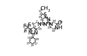 CCc1cc2c(N3CCc4c(nc(-c5ccccc5)nc4C(F)(F)F)C3)nc(N3CCNC(=O)C3)nc2s1